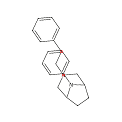 c1ccc(CCN2CC3CCC(C2)N3c2ccccc2)cc1